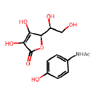 CC(=O)Nc1ccc(O)cc1.O=C1O[C@H]([C@@H](O)CO)C(O)=C1O